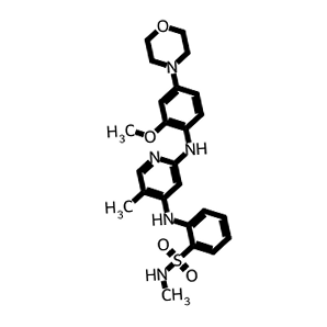 CNS(=O)(=O)c1ccccc1Nc1cc(Nc2ccc(N3CCOCC3)cc2OC)ncc1C